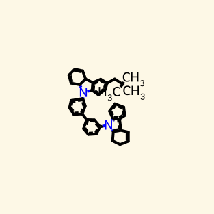 CC(C)(C)Cc1ccc2c(c1)C1C=CC=CC1N2c1cccc(-c2cccc(-n3c4c(c5ccccc53)C=CCC4)c2)c1